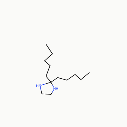 CCCCCC1(CCCCC)NCCN1